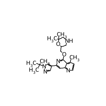 Cc1ccnc2cc(-c3cnn(C(C)(C)C)c3)nc(OCC3CNCC(C)(C)O3)c12